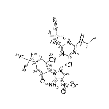 CCNc1nc(Cl)nc(NC(C)(C)C#N)n1.Nc1c([N+](=O)[O-])cnn1-c1c(Cl)cc(C(F)(F)F)cc1Cl